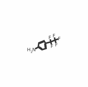 Nc1ccc(C(F)(F)C(F)(F)F)cc1